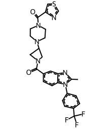 Cc1nc2cc(C(=O)N3CC(N4CCN(C(=O)c5cscn5)CC4)C3)ccc2n1-c1ccc(C(F)(F)F)cc1